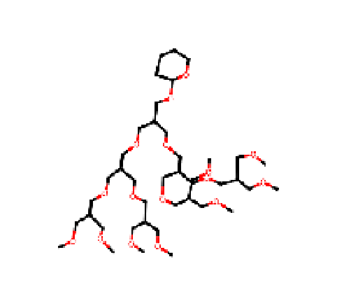 COCC(COC)COCC(COCC(COC)COC)COCC(COCC(COCC(COC)COC)COCC(COC)COC)COC1CCCCO1